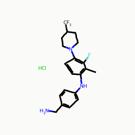 Cc1c(Nc2ccc(CN)cc2)ccc(N2CCC(C(F)(F)F)CC2)c1F.Cl